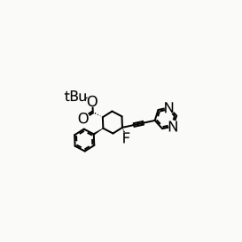 CC(C)(C)OC(=O)[C@@H]1CC[C@@](F)(C#Cc2cncnc2)C[C@H]1c1ccccc1